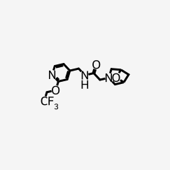 O=C(CN1CC2CC(C1)O2)NCc1ccnc(OCC(F)(F)F)c1